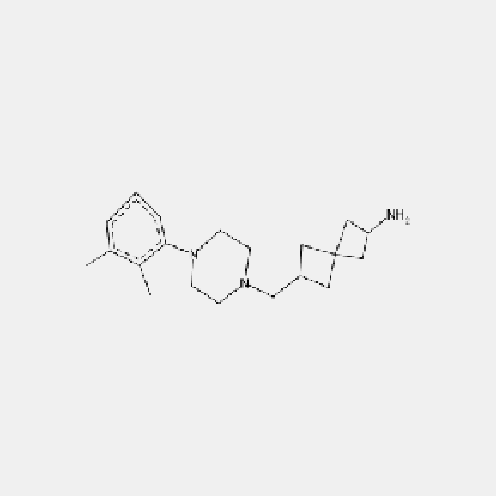 Cc1cccc(N2CCN(CC3CC4(CC(N)C4)C3)CC2)c1C